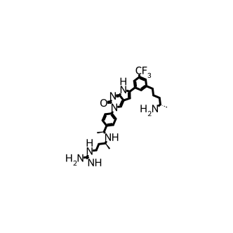 C[C@H](N)CCCc1cc(-c2cc3cn(-c4ccc([C@H](C)N[C@@H](C)CCNC(=N)N)cc4)c(=O)nc3[nH]2)cc(C(F)(F)F)c1